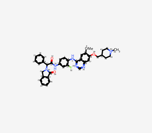 COc1cc2c(Nc3ccc(NC(=O)C(c4ccccc4)N4Cc5ccccc5C4=O)cc3F)ncnc2cc1OCC1CCN(C)CC1